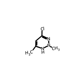 CC1=CC(Cl)=NN(C)N1